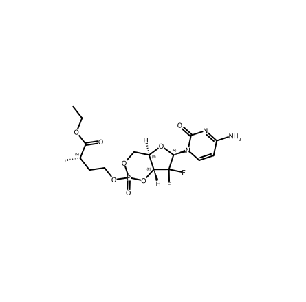 CCOC(=O)[C@@H](C)CCOP1(=O)OC[C@H]2O[C@@H](n3ccc(N)nc3=O)C(F)(F)[C@@H]2O1